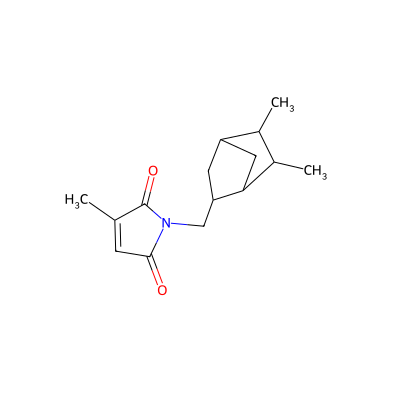 CC1=CC(=O)N(CC2CC3CC2C(C)C3C)C1=O